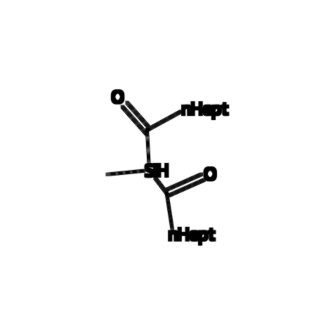 CCCCCCCC(=O)[SiH](C)C(=O)CCCCCCC